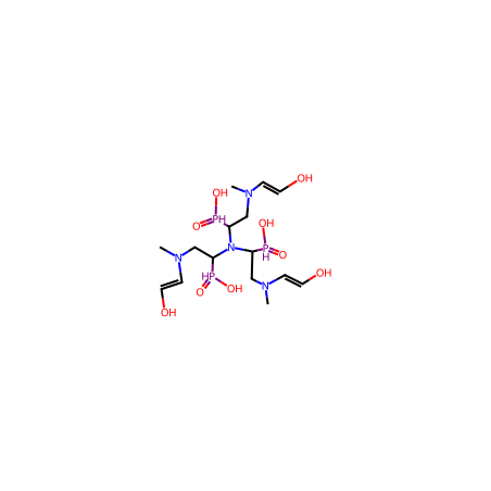 CN(C=CO)CC(N(C(CN(C)C=CO)[PH](=O)O)C(CN(C)C=CO)[PH](=O)O)[PH](=O)O